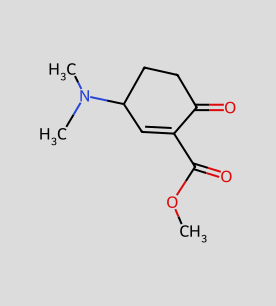 COC(=O)C1=CC(N(C)C)CCC1=O